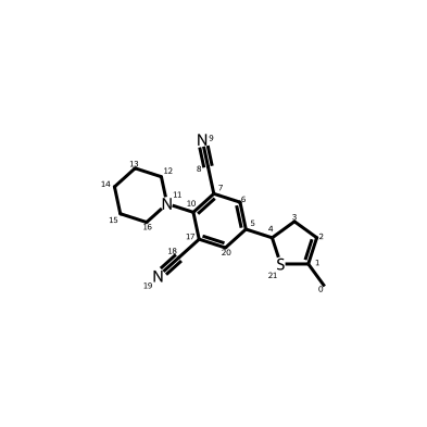 CC1=CCC(c2cc(C#N)c(N3CCCCC3)c(C#N)c2)S1